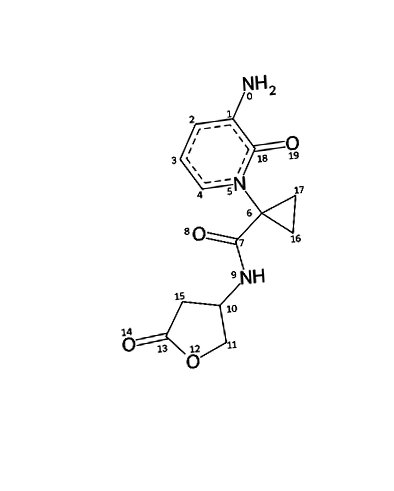 Nc1cccn(C2(C(=O)NC3COC(=O)C3)CC2)c1=O